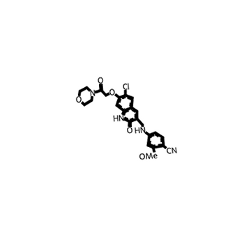 COc1cc(NCc2cc3cc(Cl)c(OCC(=O)N4CCOCC4)cc3[nH]c2=O)ccc1C#N